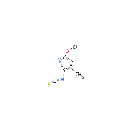 CCOc1cc(C)c(N=C=S)cn1